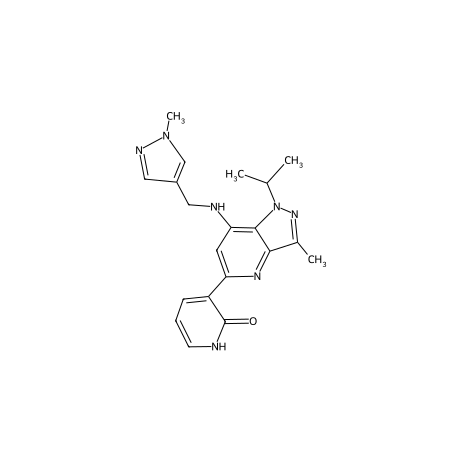 Cc1nn(C(C)C)c2c(NCc3cnn(C)c3)cc(-c3ccc[nH]c3=O)nc12